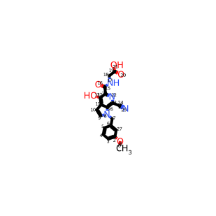 COc1cccc(Cn2ccc3c(O)c(C(=O)NCC(=O)O)nc(C#N)c32)c1